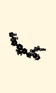 COC(=O)N[C@H](C(=O)N1CC2(C[C@H]1c1ncc(-c3ccc4c(c3)C(F)(F)C(F)(F)c3cc(-c5ccc6nc([C@@H]7CCCN7)[nH]c6c5)ccc3-4)[nH]1)OCCO2)C(C)C